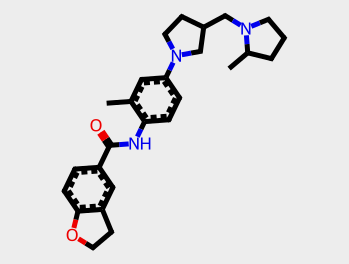 Cc1cc(N2CCC(CN3CCCC3C)C2)ccc1NC(=O)c1ccc2c(c1)CCO2